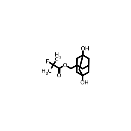 CC(C)(F)C(=O)OCC12CC3CC(O)(CC(O)(C3)C1)C2